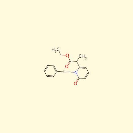 CCOC(=O)C(C)c1cccc(=O)n1C#Cc1ccccc1